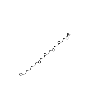 CCOCCOCCOCCOCCOCCCCCCCl